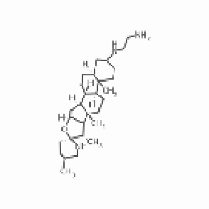 C[C@H]1CC[C@]2(NC1)O[C@H]1C[C@H]3[C@@H]4CC[C@H]5CC(NCCN)CC[C@]5(C)[C@H]4CC[C@]3(C)C1[C@@H]2C